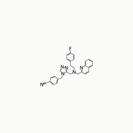 N#Cc1ccc(Cn2cnnc2CN(CCc2ccc(F)cc2)Cc2ccc3ccccc3n2)cc1